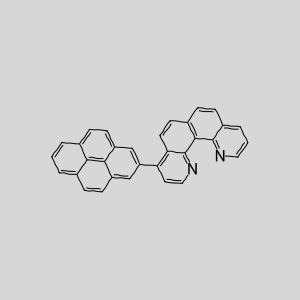 c1cnc2c(c1)ccc1ccc3c(-c4cc5ccc6cccc7ccc(c4)c5c67)ccnc3c12